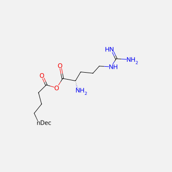 CCCCCCCCCCCCCC(=O)OC(=O)[C@@H](N)CCCNC(=N)N